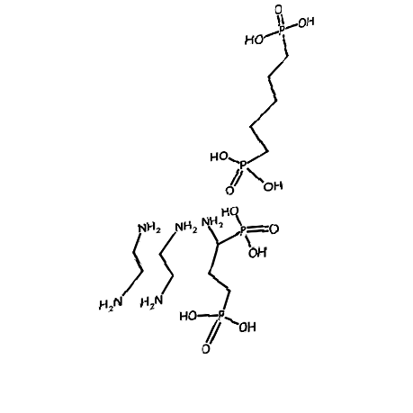 NC(CCP(=O)(O)O)P(=O)(O)O.NCCN.NCCN.O=P(O)(O)CCCCCP(=O)(O)O